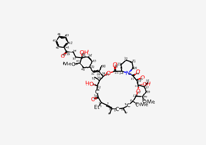 CCC1/C=C(\C)CC(C)CC(OC)C2OC(O)(C(=O)C(=O)N3CCCCC3C(=O)OC(C(C)=CC3CCC(O)(CCC(=O)c4ccccc4)C(OC)C3)C(C)C(O)CC1=O)C(C)CC2OC